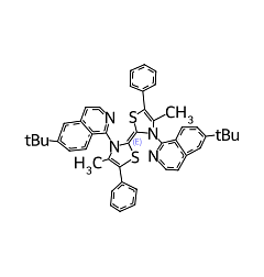 CC1=C(c2ccccc2)S/C(=C2/SC(c3ccccc3)=C(C)N2c2nccc3cc(C(C)(C)C)ccc23)N1c1nccc2cc(C(C)(C)C)ccc12